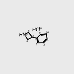 Cl.c1ccc(C2CNC2)cc1